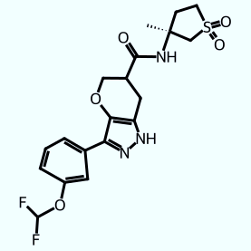 C[C@]1(NC(=O)C2COc3c(-c4cccc(OC(F)F)c4)n[nH]c3C2)CCS(=O)(=O)C1